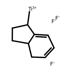 [F-].[F-].[F-].[Ti+3][CH]1CCC2CC=CC=C12